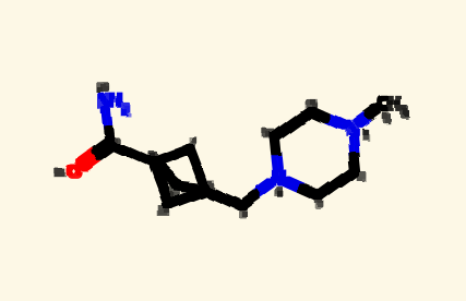 CN1CCN(CC23CC(C(N)=O)(C2)C3)CC1